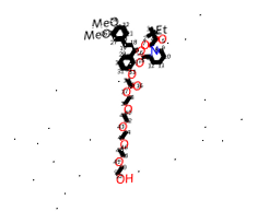 CCC(C)(C)C(=O)C(=O)N1CCCCC1C(=O)O[C@H](CCc1ccc(OC)c(OC)c1)c1cccc(OCC(=O)OCCOCCOCCOCCOCCO)c1